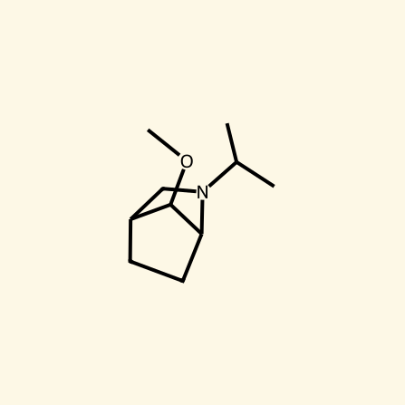 COC1C2CCC1N(C(C)C)C2